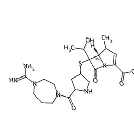 CC1C=C(C(=O)O)N2C(=O)C(SC3CNC(C(=O)N4CCCN(C(=N)N)CC4)C3)(C(C)O)[C@H]12